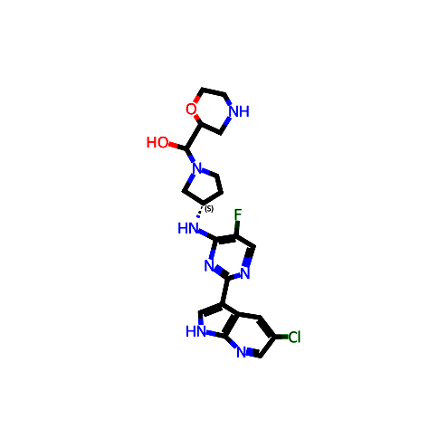 OC(C1CNCCO1)N1CC[C@H](Nc2nc(-c3c[nH]c4ncc(Cl)cc34)ncc2F)C1